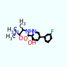 CC(NC(=O)c1ncc(-c2cccc(F)c2)cc1O)C(=O)N(C)C